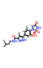 Cc1c(C(=O)NCCC(C)C)n[nH]c1-c1cc(O)c(N2CC(=O)NS2(=O)=O)c(F)c1